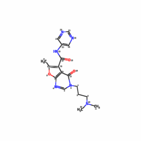 Cc1oc2ncn(CCCN(C)C)c(=O)c2c1C(=O)Nc1cncnc1